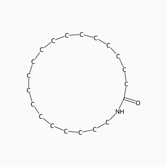 O=C1CCCCCCCCCCCCCCCCCCCN1